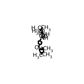 CC1(C)CC2CC(C)(CN2C(=O)c2ccc(CNS(=O)(=O)NC(=O)OC(C)(C)C)cc2)C1